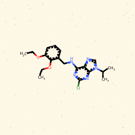 CCOc1cccc(CNc2nc(Cl)nc3c2ncn3C(C)C)c1OCC